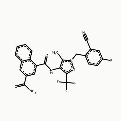 Cc1c(NC(=O)c2cc(C(N)=O)nc3ccccc23)c(C(F)(F)F)nn1Cc1ccc(F)cc1C#N